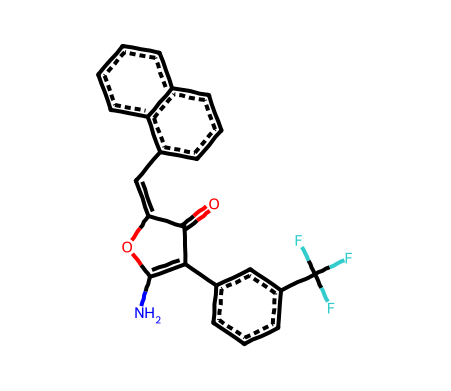 NC1=C(c2cccc(C(F)(F)F)c2)C(=O)/C(=C\c2cccc3ccccc23)O1